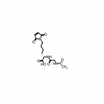 C[S+]([O-])NCC(=O)N[C@@H](CCCCN1C(=O)C=CC1=O)C(=O)O